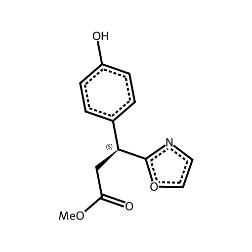 COC(=O)C[C@@H](c1ccc(O)cc1)c1ncco1